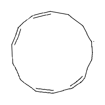 [CH]1CC=CC=CCCC=CC=CCC1